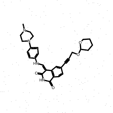 CN1CCN(c2ccc(NC=C3C(=O)NC(=O)c4ccc(C#CCOC5CCCCO5)cc43)cc2)CC1